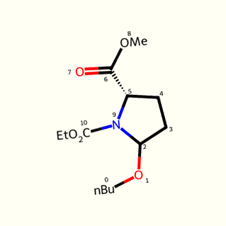 CCCCOC1CC[C@@H](C(=O)OC)N1C(=O)OCC